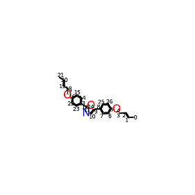 CC=CCOc1ccc(-c2cnc(-c3ccc(OCC=CC)cc3)o2)cc1